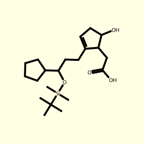 CC(C)(C)[Si](C)(C)OC(CCC1=CCC(O)C1CC(=O)O)C1CCCC1